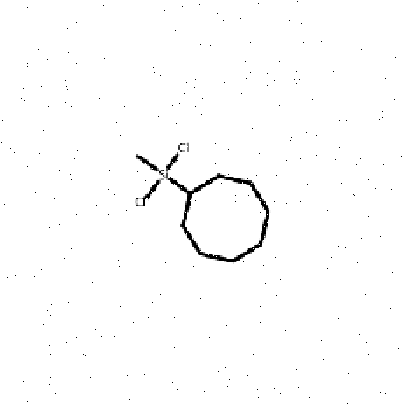 C[Si](Cl)(Cl)C1CCCCCCC1